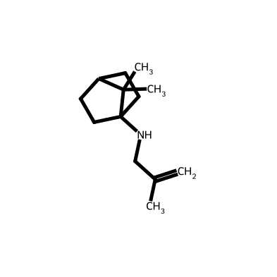 C=C(C)CNC12CCC(CC1)C2(C)C